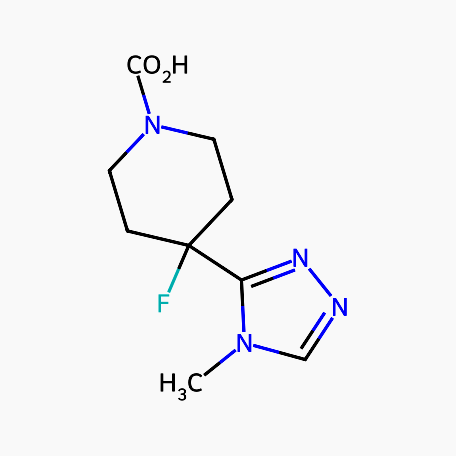 Cn1cnnc1C1(F)CCN(C(=O)O)CC1